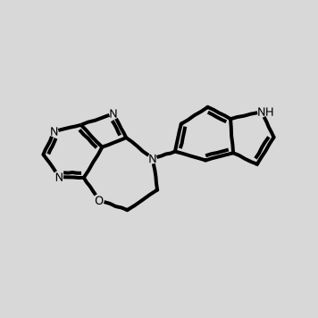 c1nc2c3c(n1)OCCN(c1ccc4[nH]ccc4c1)C3=N2